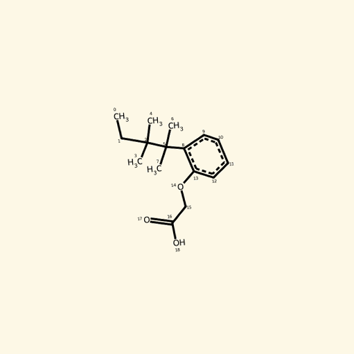 CCC(C)(C)C(C)(C)c1ccccc1OCC(=O)O